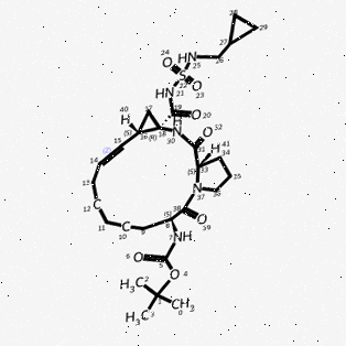 CC(C)(C)OC(=O)N[C@H]1CCCCC/C=C\[C@@H]2C[C@@]2(C(=O)NS(=O)(=O)NCC2CC2)NC(=O)[C@@H]2CCCN2C1=O